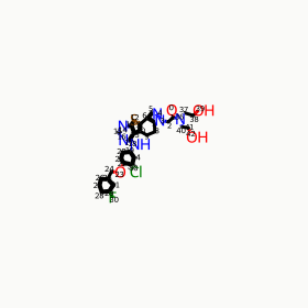 O=C(Cn1ncc2c1CCc1c-2sc2ncnc(Nc3ccc(OCc4cccc(F)c4)c(Cl)c3)c12)N(CCO)CCO